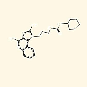 CCCCc1nc2c(N)nc3ccccc3c2n1CCCNC(=O)NC1CCCCC1